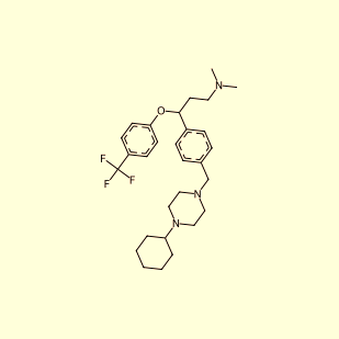 CN(C)CCC(Oc1ccc(C(F)(F)F)cc1)c1ccc(CN2CCN(C3CCCCC3)CC2)cc1